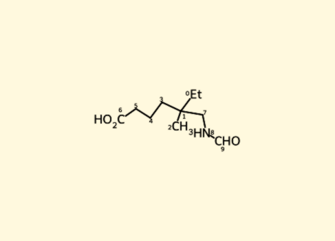 CCC(C)(CCCC(=O)O)CNC=O